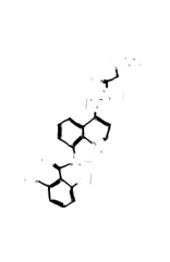 COCC(=O)NNc1ccnc2c(NC(=O)c3c(Cl)cccc3Cl)cccc12